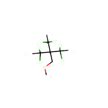 [SiH3]OCC(C(Cl)(Cl)C(Cl)(Cl)Cl)(C(Cl)(Cl)C(Cl)(Cl)Cl)C(Cl)(Cl)C(Cl)(Cl)Cl